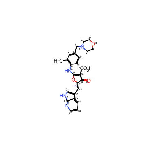 Cc1cc(CN2CCOCC2)ccc1NC1=C(C(=O)O)C(=O)/C(=C/c2c[nH]c3ncccc23)O1